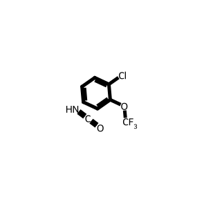 FC(F)(F)Oc1ccccc1Cl.N=C=O